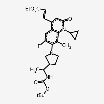 CCOC(=O)/C=C/c1cc(=O)n(C2CC2)c2c(C)c(N3CC[C@@H]([C@H](C)NC(=O)OC(C)(C)C)C3)c(F)cc12